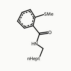 CCCCCCCCNC(=O)c1ccccc1SC